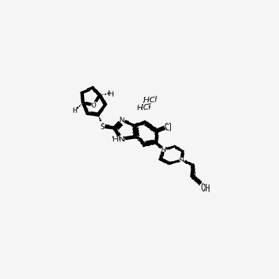 Cl.Cl.OCCN1CCN(c2cc3[nH]c(S[C@@H]4C[C@H]5CC[C@@H](C4)O5)nc3cc2Cl)CC1